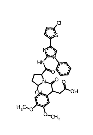 COc1ccc(C(CC(=O)O)C(=O)N2C(C)CCC2C(=O)Nc2nc(-c3ccc(Cl)s3)cn2-c2ccccc2)cc1OC